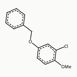 COc1ccc(O[CH]c2ccccc2)cc1Cl